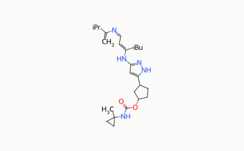 C=C(/N=C\C=C(\Nc1cc(C2CCC(OC(=O)NC3(C)CC3)C2)[nH]n1)C(C)CC)C(C)C